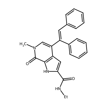 CCNC(=O)c1cc2c(/C(=C/c3ccccc3)c3ccccc3)cn(C)c(=O)c2[nH]1